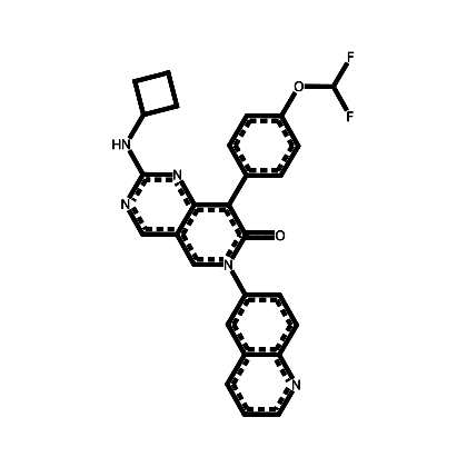 O=c1c(-c2ccc(OC(F)F)cc2)c2nc(NC3CCC3)ncc2cn1-c1ccc2ncccc2c1